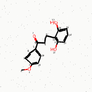 COc1ccc(C(=O)CCc2c(O)cccc2O)cc1